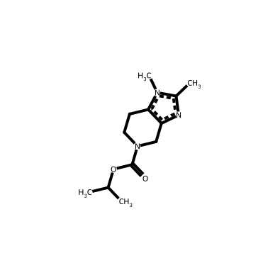 Cc1nc2c(n1C)CCN(C(=O)OC(C)C)C2